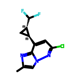 Cc1cn2nc(Cl)cc([C@H]3C[C@@H]3C(F)F)c2n1